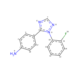 Nc1ccc(-c2ncnn2-c2ccccc2F)cc1